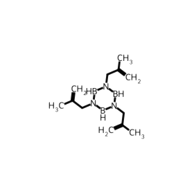 C=C(C)CN1BN(CC(=C)C)BN(CC(=C)C)B1